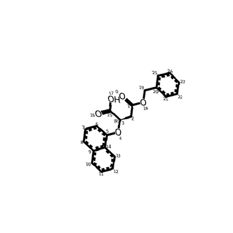 O=C(C[C@@H](Oc1cccc2ccccc12)C(=O)O)OCc1ccccc1